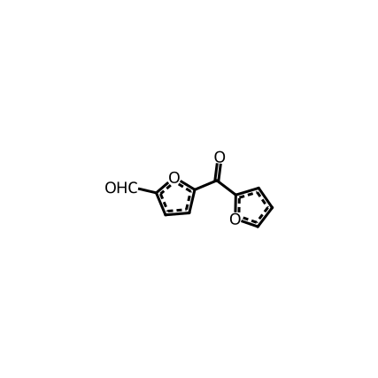 O=Cc1ccc(C(=O)c2ccco2)o1